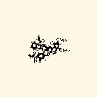 C=CC(=O)Nc1ccc(Cn2c(=O)c(-c3c(Cl)c(OC)cc(OC)c3Cl)cc3cnc(Nc4ccccc4NC(=O)C=C)nc32)cc1C